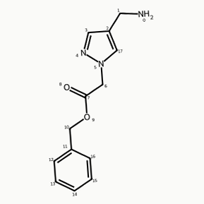 NCc1cnn(CC(=O)OCc2ccccc2)c1